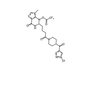 CCn1cc(C(=O)C2CCN(C(=O)CCCC3NC(=O)c4scc(C)c4N3OC(=O)C(F)(F)F)CC2)cn1